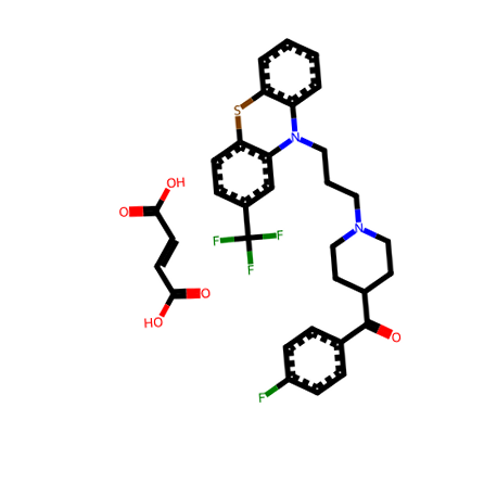 O=C(O)/C=C/C(=O)O.O=C(c1ccc(F)cc1)C1CCN(CCCN2c3ccccc3Sc3ccc(C(F)(F)F)cc32)CC1